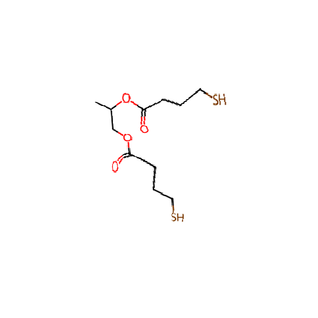 CC(COC(=O)CCCS)OC(=O)CCCS